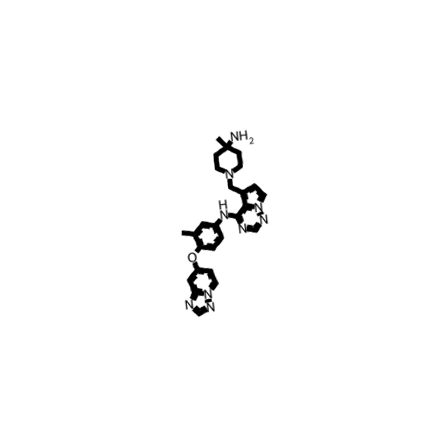 Cc1cc(Nc2ncnn3ccc(CN4CCC(C)(N)CC4)c23)ccc1Oc1ccn2ncnc2c1